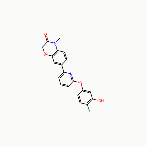 CN1C(=O)COc2cc(-c3cccc(Oc4ccc(F)c(O)c4)n3)ccc21